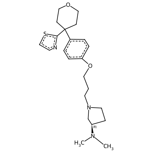 CN(C)[C@@H]1CCN(CCCOc2ccc(C3(c4nccs4)CCOCC3)cc2)C1